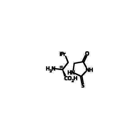 CC(C)C[C@H](N)C(=O)O.O=C1CNC(=S)N1